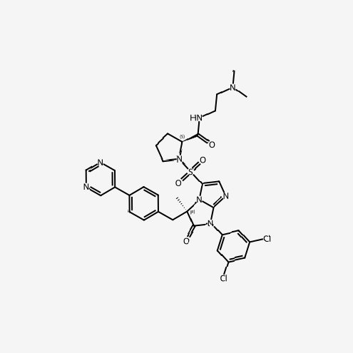 CN(C)CCNC(=O)[C@@H]1CCCN1S(=O)(=O)c1cnc2n1[C@](C)(Cc1ccc(-c3cncnc3)cc1)C(=O)N2c1cc(Cl)cc(Cl)c1